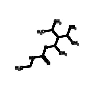 CCNC(=O)OC(C)C(C(C)C)C(C)C